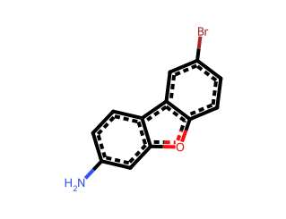 Nc1ccc2c(c1)oc1ccc(Br)cc12